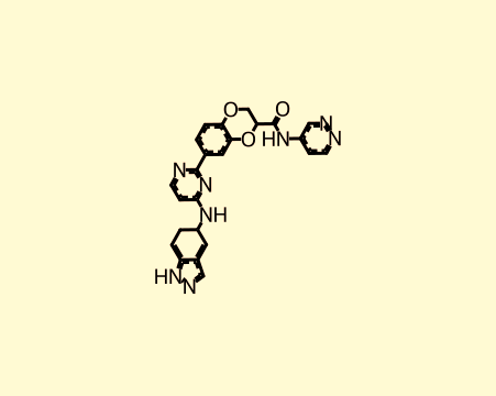 O=C(Nc1ccnnc1)C1COc2ccc(-c3nccc(NC4C=c5cn[nH]c5=CC4)n3)cc2O1